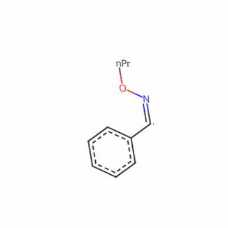 CCCO/N=[C]\c1ccccc1